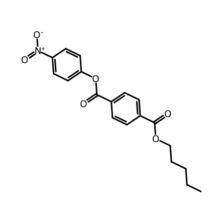 CCCCCOC(=O)c1ccc(C(=O)Oc2ccc([N+](=O)[O-])cc2)cc1